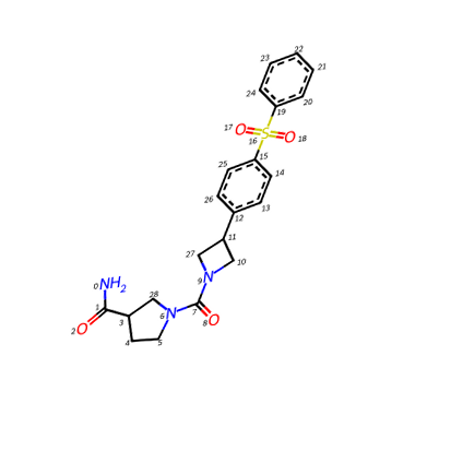 NC(=O)C1CCN(C(=O)N2CC(c3ccc(S(=O)(=O)c4ccccc4)cc3)C2)C1